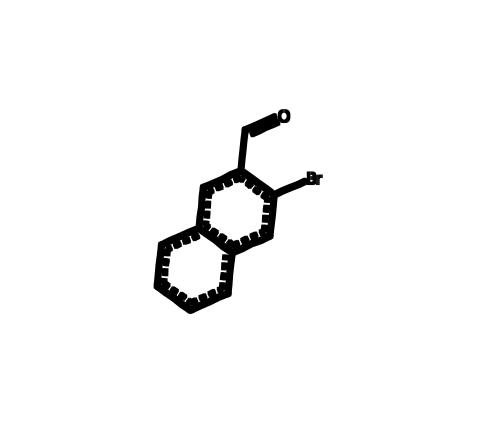 O=Cc1cc2ccccc2cc1Br